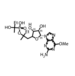 CCC(C)(CC1O[C@@H](n2cnc3c(OC)nc(N)nc32)[C@H](O)[C@@H]1O)OP(=O)(O)C(C)(O)CC